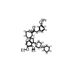 CCOc1ccc(C2(CCN3CCN(C4CCCCC4)CC3)CCCNC(C(=O)Cc3cccc(OC(C)C)c3)C2)cc1OCC